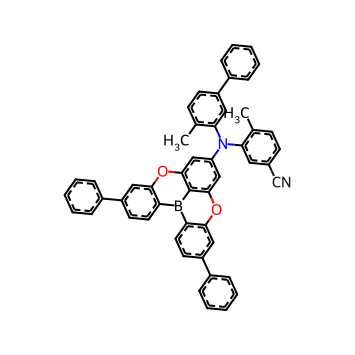 Cc1ccc(C#N)cc1N(c1cc2c3c(c1)Oc1cc(-c4ccccc4)ccc1B3c1ccc(-c3ccccc3)cc1O2)c1cc(-c2ccccc2)ccc1C